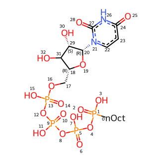 CCCCCCCCP(=O)(O)OP(=O)(O)OP(=O)(O)OP(=O)(O)OC[C@H]1O[C@@H](n2ccc(=O)[nH]c2=O)[C@@H](O)C1O